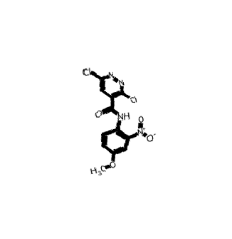 COc1ccc(NC(=O)c2cc(Cl)nnc2Cl)c([N+](=O)[O-])c1